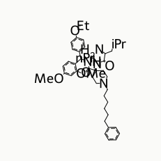 CCCN(C(=O)[C@@H](N)CC(C)C)C1(C(=O)NC(c2ccc(OCC)cc2)c2ccc(OC)cc2OC)CCN(CCCCCCc2ccccc2)CC1